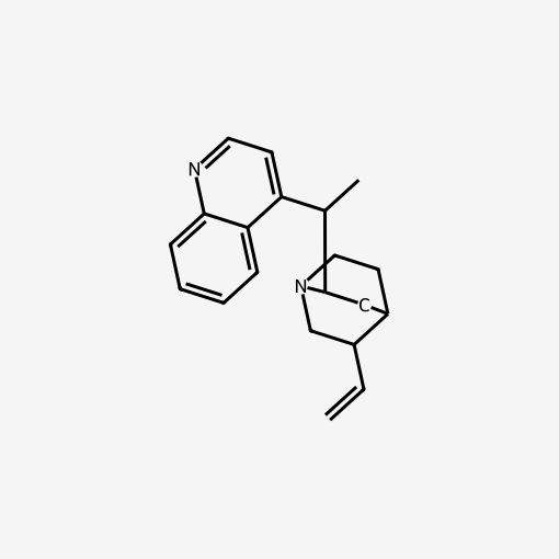 C=CC1CN2CCC1CC2C(C)c1ccnc2ccccc12